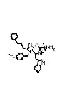 COc1ccc(Cn2c(CCCc3ccccc3)nnc2C(Cc2c[nH]c3ccccc23)NC(=O)C(C)(C)N)cc1